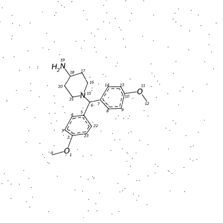 COc1ccc(C(c2ccc(OC)cc2)N2CCC(N)CC2)cc1